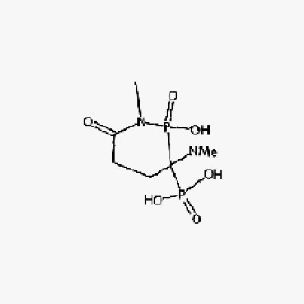 CNC1(P(=O)(O)O)CCC(=O)N(C)P1(=O)O